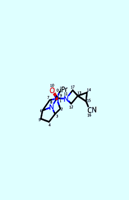 CC(C)N1CC2CCC(C1)N2C(=O)N1CC2(CC2C#N)C1